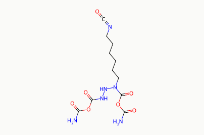 NC(=O)OC(=O)NNN(CCCCCCN=C=O)C(=O)OC(N)=O